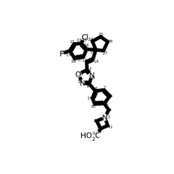 O=C(O)C1CN(Cc2ccc(-c3noc(C=CC4(c5ccc(F)cc5Cl)CCCC4)n3)cc2)C1